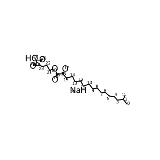 CC(C)CCCCCCCCCCCCCC(=O)C(=O)OCCCS(=O)(=O)O.[NaH]